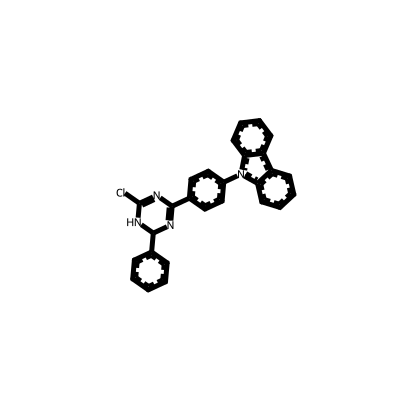 ClC1=NC(c2ccc(-n3c4ccccc4c4ccccc43)cc2)=NC(c2ccccc2)N1